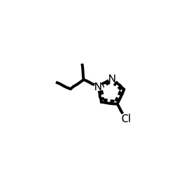 CCC(C)n1cc(Cl)cn1